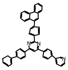 C1=CCCC(c2ccc(-c3cc(-c4ccc(-c5cccnc5)cc4)nc(-c4ccc(-c5cc6ccccc6c6ccccc56)cc4)n3)cc2)=C1